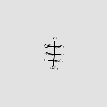 FC(F)(F)C(F)(F)C(F)(I)C(F)(F)Cl